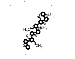 CCCc1cc(-c2cccc3c2sc2ccc4c(c5c(CCC)ccc(-c6cc(CCC)c7c(c6)sc6ccc8c(c9ccccc9n8C)c67)c5n4C)c23)c2c(c1)c1c3c(ccc1n2C)sc1ccccc13